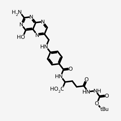 CC(C)(C)OC(=O)NNC(=O)CCC(NC(=O)c1ccc(NCc2cnc3nc(N)nc(O)c3n2)cc1)C(=O)O